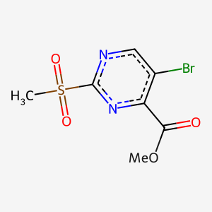 COC(=O)c1nc(S(C)(=O)=O)ncc1Br